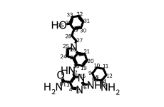 NC(=O)c1cnc(N[C@@H]2CCCC[C@@H]2N)nc1Nc1cccc2c1ccn2CCc1ccccc1O